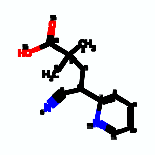 CC(C)(CC(C#N)c1ccccn1)C(=O)O